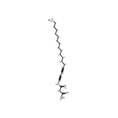 CCCCCCCCCCCCCCC#CC#COC(=O)CC(=O)O